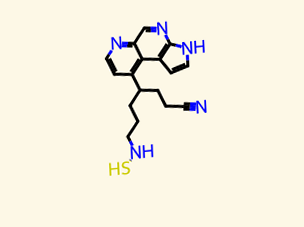 N#CCCC(CCCNS)c1ccnc2cnc3[nH]ccc3c12